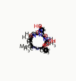 CC[C@H](C)[C@H]1C(=O)N[C@H](Cc2ccc(O)cc2)C(=O)N[C@@H](C(C)(C)O)C(=O)O[C@H](c2ccccc2)[C@H](C)/C=C/C=C(\C)[C@H](OC)C[C@@H]2C[C@@]2(C)C(=O)N1C